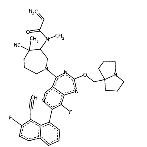 C#Cc1c(F)ccc2cccc(-c3ncc4c(N5CCCC(C)(C#N)C(N(C)C(=O)C=C)C5)nc(OCC56CCCN5CCC6)nc4c3F)c12